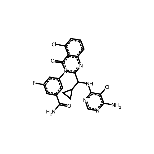 NC(=O)c1cc(F)cc(-n2c(C(Nc3ncnc(N)c3Cl)C3CC3)nc3cccc(Cl)c3c2=O)c1